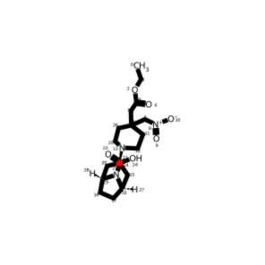 CCOC(=O)CC1(C[N+](=O)[O-])CCN([C@H]2C[C@H]3CC[C@@H](C2)N3C(=O)O)CC1